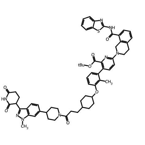 Cc1c(OC2CCC(CCC(=O)N3CCC(c4ccc5c(C6CCC(=O)NC6=O)nn(C)c5c4)CC3)CC2)cccc1-c1ccc(N2CCc3cccc(C(=O)Nc4nc5ccccc5s4)c3C2)nc1C(=O)OC(C)(C)C